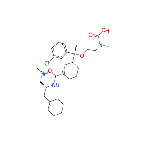 CNC[C@H](CC1CCCCC1)NC(=O)N1CCC[C@@H]([C@@](C)(OCCN(C)C(=O)O)c2cccc(Cl)c2)C1